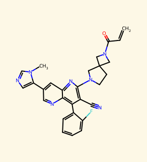 C=CC(=O)N1CC2(CCN(c3nc4cc(-c5cncn5C)cnc4c(-c4ccccc4F)c3C#N)C2)C1